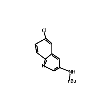 CCCCNc1cnc2ccc(Cl)cc2c1